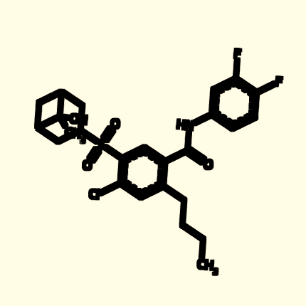 CCCCc1cc(Cl)c(S(=O)(=O)C2CC3CC(C2)C3(C)O)cc1C(=O)Nc1ccc(F)c(F)c1